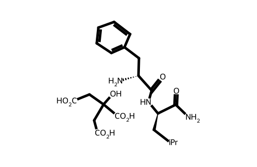 CC(C)C[C@@H](NC(=O)[C@H](N)Cc1ccccc1)C(N)=O.O=C(O)CC(O)(CC(=O)O)C(=O)O